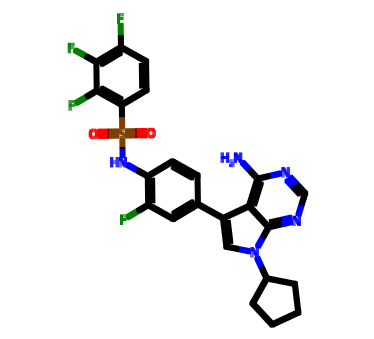 Nc1ncnc2c1c(-c1ccc(NS(=O)(=O)c3ccc(F)c(F)c3F)c(F)c1)cn2C1CCCC1